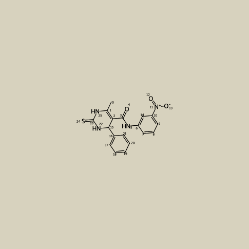 CC1=C(C(=O)Nc2cccc([N+](=O)[O-])c2)C(c2ccccc2)NC(=S)N1